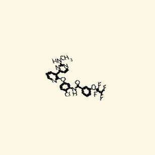 CNc1nccc(-c2cccnc2Oc2ccc(Cl)c(NC(=O)c3cccc(OC(F)(F)C(F)F)c3)c2)n1